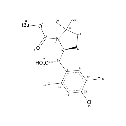 CC(C)(C)OC(=O)N1[C@H]([C@@H](C(=O)O)c2cc(F)c(Cl)cc2F)CCC1(C)C